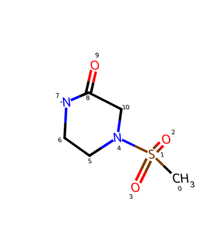 CS(=O)(=O)N1CC[N]C(=O)C1